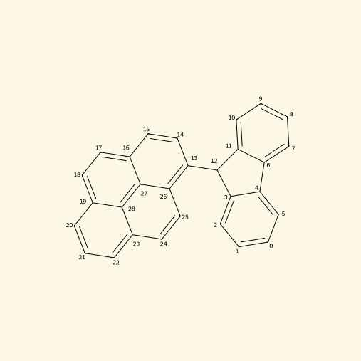 c1ccc2c(c1)-c1ccccc1C2c1ccc2ccc3cccc4ccc1c2c34